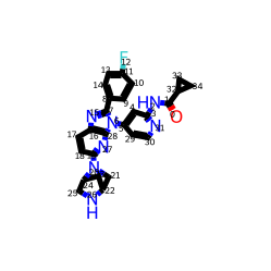 O=C(Nc1cc(-n2c(-c3ccc(F)cc3)nc3ccc(N4CC5CC4CN5)nc32)ccn1)C1CC1